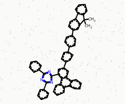 CC1(C)c2ccccc2-c2ccc(-c3ccc(-c4ccc(-c5cc(-c6nc(-c7ccccc7)nc(-c7ccccc7)n6)c6c7ccccc7c7ccccc7c6c5)cc4)cc3)cc21